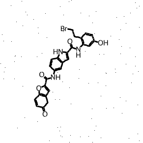 O=C1C=Cc2oc(C(=O)Nc3ccc4[nH]c(C(=O)Nc5cc(O)ccc5CCBr)cc4c3)cc2C1